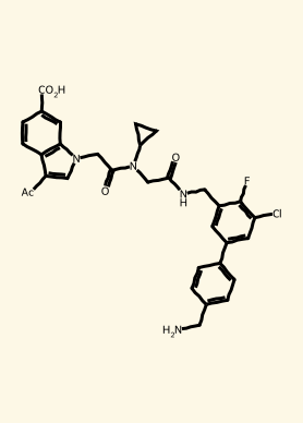 CC(=O)c1cn(CC(=O)N(CC(=O)NCc2cc(-c3ccc(CN)cc3)cc(Cl)c2F)C2CC2)c2cc(C(=O)O)ccc12